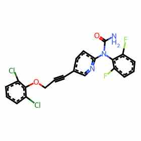 NC(=O)N(c1ccc(C#CCOc2c(Cl)cccc2Cl)cn1)c1c(F)cccc1F